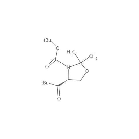 CC(C)(C)OC(=O)N1[C@H](C(=O)C(C)(C)C)COC1(C)C